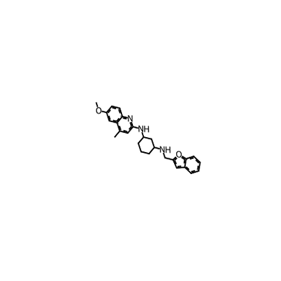 COc1ccc2nc(NC3CCCC(NCc4cc5ccccc5o4)C3)cc(C)c2c1